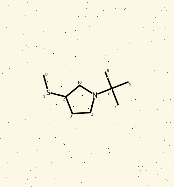 CSC1CCN(C(C)(C)C)C1